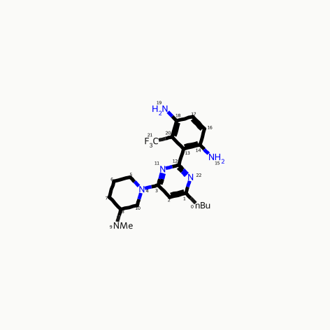 CCCCc1cc(N2CCCC(NC)C2)nc(-c2c(N)ccc(N)c2C(F)(F)F)n1